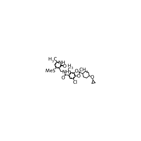 CSc1cc(C)[nH]c(=O)c1CNC(=O)c1cc(Cl)c2c(c1C)OC(C)(C1CCC(OC3CC3)CC1)O2